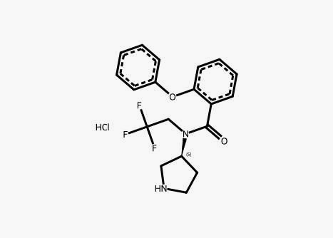 Cl.O=C(c1ccccc1Oc1ccccc1)N(CC(F)(F)F)[C@H]1CCNC1